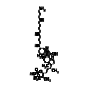 CC(C)[C@@H](CC[C@@H](C)[C@H]1CC[C@H]2[C@@H]3[C@H](O)C[C@H]4C[C@@H](NCCCNCCCCNCCCN)CC[C@]4(C)[C@H]3CCC12C)OS(=O)(=O)O